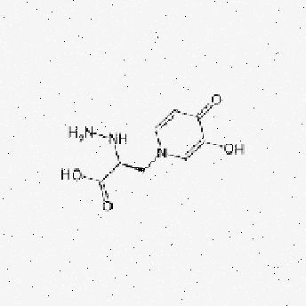 NN[C@@H](Cn1ccc(=O)c(O)c1)C(=O)O